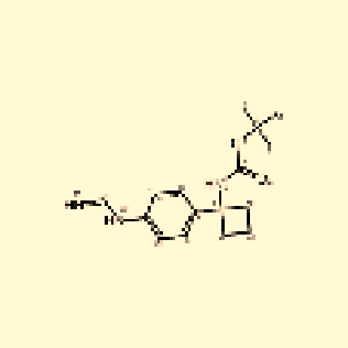 CC(C)(C)OC(=O)NC1(c2ccc(NC=N)cc2)CCC1